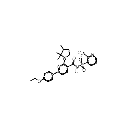 CCOc1ccc(-c2ccc(C(=O)NS(=O)(=O)c3cccnc3N)c(N3CCC(C)C3(C)C)n2)cc1